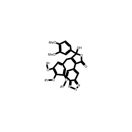 COc1ccc(C2(O)OC(=O)C(c3ccc4nsnc4c3)=C2Cc2cc(OC(C)C)c(OC(C)C)c(OC(C)C)c2)cc1OC